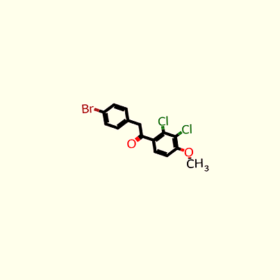 COc1ccc(C(=O)Cc2ccc(Br)cc2)c(Cl)c1Cl